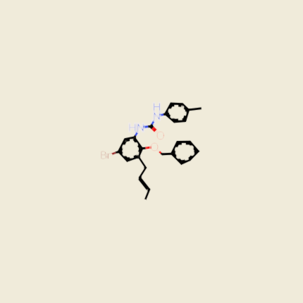 CC=CCc1cc(Br)cc(NC(=O)Nc2ccc(C)cc2)c1OCc1ccccc1